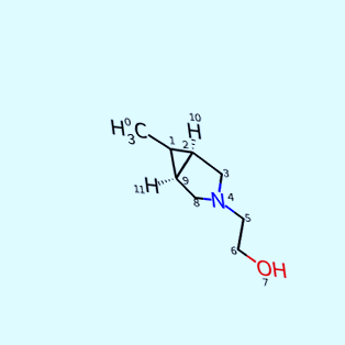 CC1[C@H]2CN(CCO)C[C@@H]12